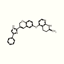 C=C1CCc2c(Oc3ccc4c(c3)C=C(c3nc(-c5ccccc5)c[nH]3)CO4)ccnc2N1